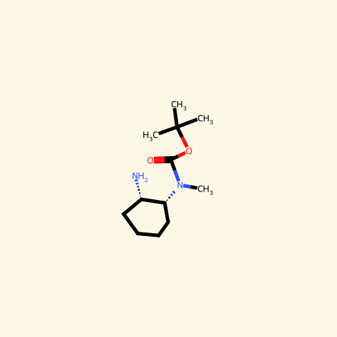 CN(C(=O)OC(C)(C)C)[C@@H]1CCCC[C@@H]1N